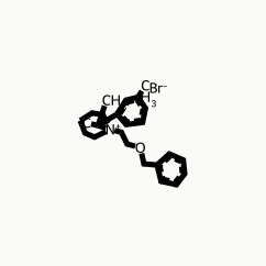 Cc1cccc(C2(C)CC3CC[N+]2(CCOCc2ccccc2)CC3)c1.[Br-]